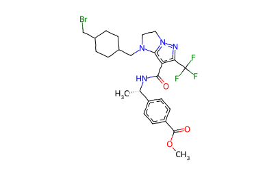 COC(=O)c1ccc([C@H](C)NC(=O)c2c(C(F)(F)F)nn3c2N(CC2CCC(CBr)CC2)CC3)cc1